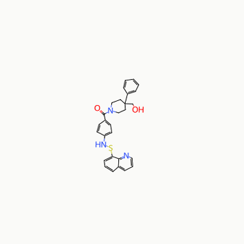 O=C(c1ccc(NSc2cccc3cccnc23)cc1)N1CCC(CO)(c2ccccc2)CC1